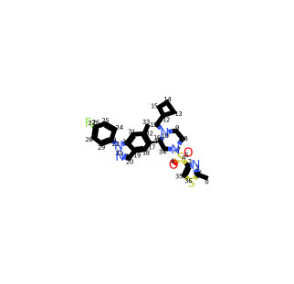 Cc1nc(S(=O)(=O)N2CCN(CC3CCC3)[C@H](c3cc4cnn(-c5ccc(F)cc5)c4cc3C)C2)cs1